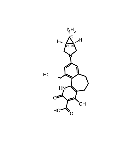 Cl.N[C@@H]1[C@H]2CN(c3cc(F)c4c(c3)CCCc3c-4[nH]c(=O)c(C(=O)O)c3O)C[C@@H]12